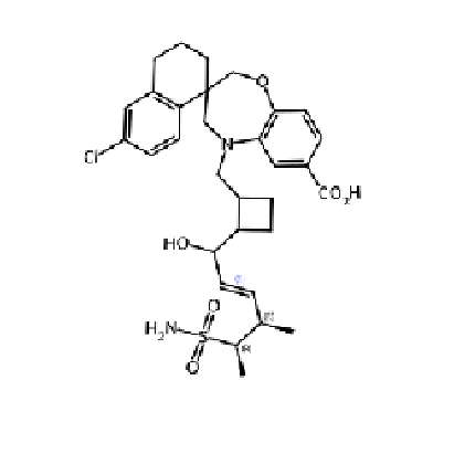 C[C@H](/C=C/C(O)C1CCC1CN1CC2(CCCc3cc(Cl)ccc32)COc2ccc(C(=O)O)cc21)[C@@H](C)S(N)(=O)=O